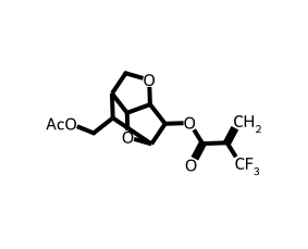 C=C(C(=O)OC1C2OC3C(COC31)C2COC(C)=O)C(F)(F)F